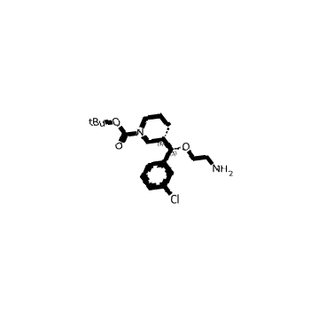 CC(C)(C)OC(=O)N1CCC[C@H]([C@H](OCCN)c2cccc(Cl)c2)C1